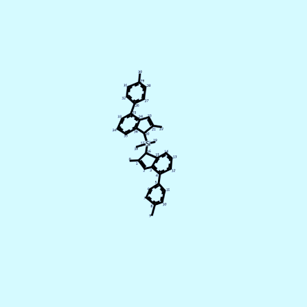 CC1=Cc2c(-c3ccc(C)cc3)cccc2C1[Si](C)(C)C1C(C)=Cc2c(-c3ccc(C)cc3)cccc21